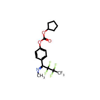 C/N=C(/c1ccc(OC(=O)OC2CCCC2)cc1)C(F)(F)C(F)(F)C(F)(F)F